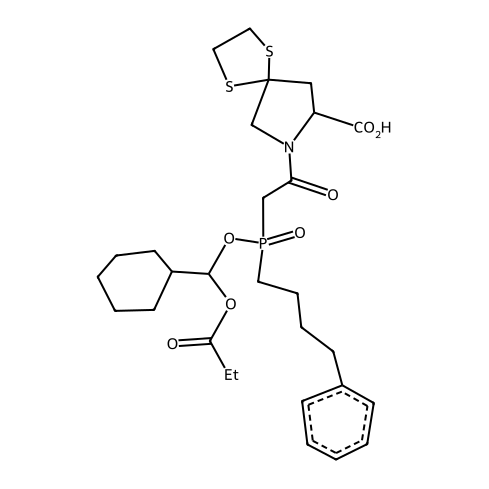 CCC(=O)OC(OP(=O)(CCCCc1ccccc1)CC(=O)N1CC2(CC1C(=O)O)SCCS2)C1CCCCC1